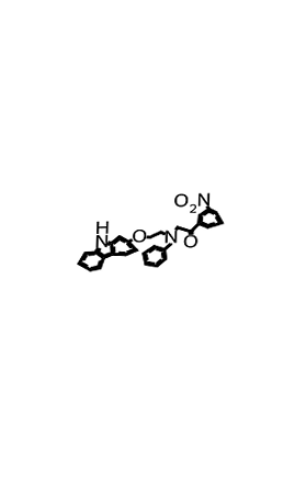 O=C(CN(CCOc1ccc2c(c1)[nH]c1ccccc12)Cc1ccccc1)c1cccc([N+](=O)[O-])c1